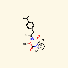 C=C(C)c1ccc(C[C@@H](C#N)NC(=O)[C@@H]2[C@H]3CC[C@H](C3)N2C(=O)OC(C)(C)C)cc1